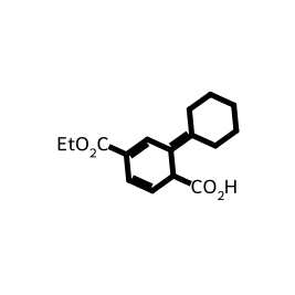 CCOC(=O)C1=CC(=C2CCCCC2)C(C(=O)O)C=C1